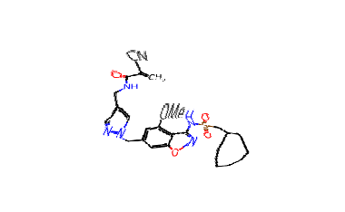 C=C(C#N)C(=O)NCc1cnn(Cc2cc(OC)c3c(NS(=O)(=O)CC4CCCCC4)noc3c2)c1